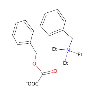 CC[N+](CC)(CC)Cc1ccccc1.O=C([O-])C(=O)OCc1ccccc1